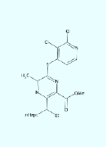 CCCCCCCC(CC)c1nc(C)c(Sc2ccnc(Cl)c2Cl)nc1C(=O)OC